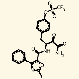 Cc1nc(-c2ccccc2)c(C(=O)N[C@@H](Cc2ccc(OS(=O)(=O)C(F)(F)F)cc2)C(=O)C(N)=O)o1